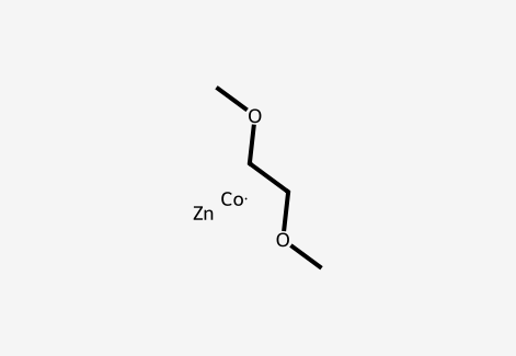 COCCOC.[Co].[Zn]